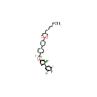 CCCCCCC1COC(C2CCC(C3CCC(C(F)(F)Oc4ccc(-c5cc(F)c(F)c(F)c5)c(F)c4)CC3)CC2)OC1